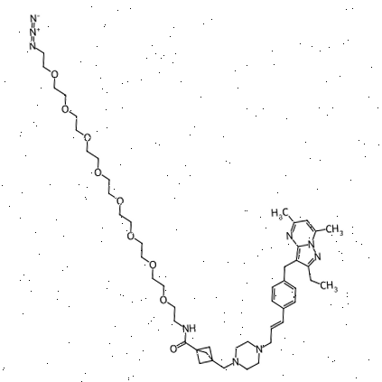 CCc1nn2c(C)cc(C)nc2c1Cc1ccc(/C=C/CN2CCN(CC34CC(C(=O)NCCOCCOCCOCCOCCOCCOCCOCCOCCN=[N+]=[N-])(C3)C4)CC2)cc1